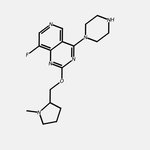 CN1CCCC1COc1nc(N2CCNCC2)c2cncc(F)c2n1